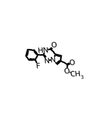 COC(=O)c1cc2c(=O)[nH]c(-c3ccccc3F)nn2c1